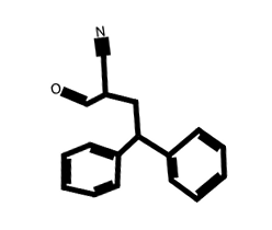 N#CC(C=O)CC(c1ccccc1)c1ccccc1